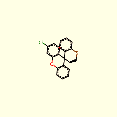 Clc1ccc2c(c1)Oc1ccccc1C21c2ccccc2Sc2ccccc21